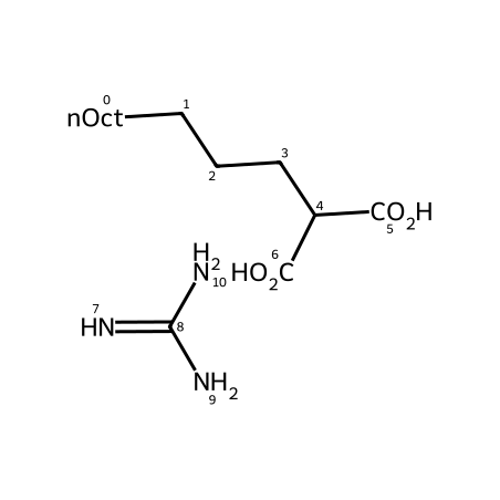 CCCCCCCCCCCC(C(=O)O)C(=O)O.N=C(N)N